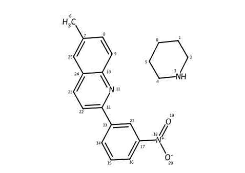 C1CCNCC1.Cc1ccc2nc(-c3cccc([N+](=O)[O-])c3)ccc2c1